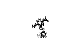 N#Cc1cnc(C2CC2)nc1OC[C@H]1CCNC1